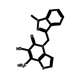 Cn1nc(Cn2c(=O)c(O)c(C(=O)O)c3sccc32)c2ccccc21